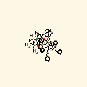 CCC1O[C@H](OCC2(C)O[C@@H](O[C@@H]3C(COCc4ccccc4)O[C@@H](OCc4ccccc4)C(C)[C@H]3C)C(OCc3ccccc3)[C@@H](O[C@H]3O[C@@H](CC)[C@@H](C)C(C)C3O[C@H]3O[C@@H](CC)[C@@H](C)C(C)C3OCc3ccccc3)[C@@H]2C)C(OCc2ccccc2)[C@@H](C)[C@@H]1C